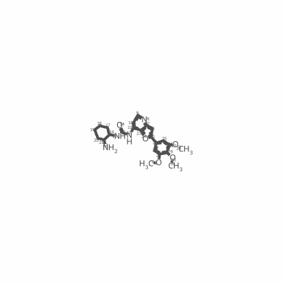 COc1cc(-c2cc3nccc(NC(=O)NC4CCCCC4N)c3o2)cc(OC)c1OC